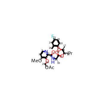 COc1ccnc(C(=O)N[C@@H](C)C(=O)O[C@H](C(C)C)[C@H](C)Oc2ccc(F)cc2C)c1OCOC(C)=O